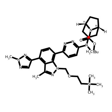 Cc1nn(COCC[Si](C)(C)C)c2c(-c3ccc(N(C)C4C[C@H]5CC[C@@H](C4)N5C(=O)OC(C)(C)C)nn3)ccc(-c3cnn(C)n3)c12